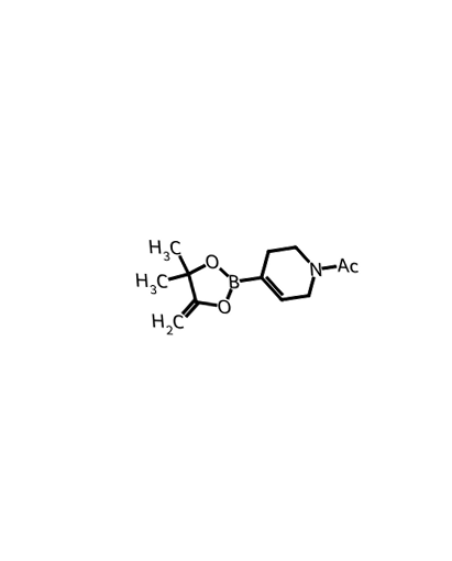 C=C1OB(C2=CCN(C(C)=O)CC2)OC1(C)C